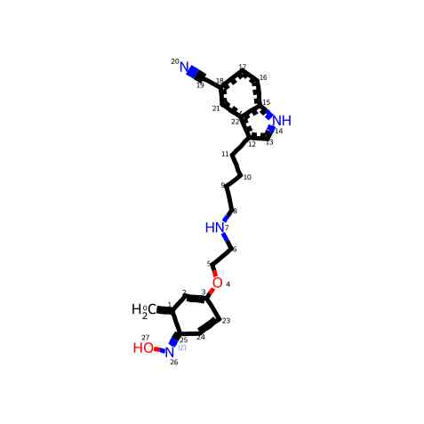 C=C1C=C(OCCNCCCCc2c[nH]c3ccc(C#N)cc23)C=C/C1=N/O